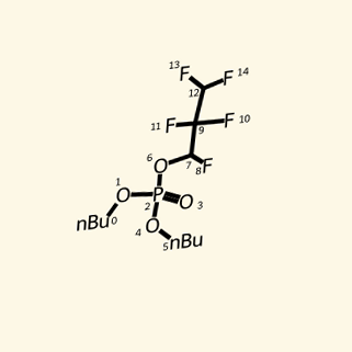 CCCCOP(=O)(OCCCC)OC(F)C(F)(F)C(F)F